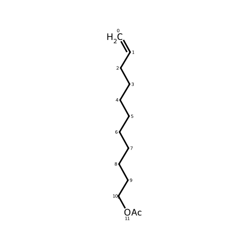 C=CCCCCCCCC[CH]OC(C)=O